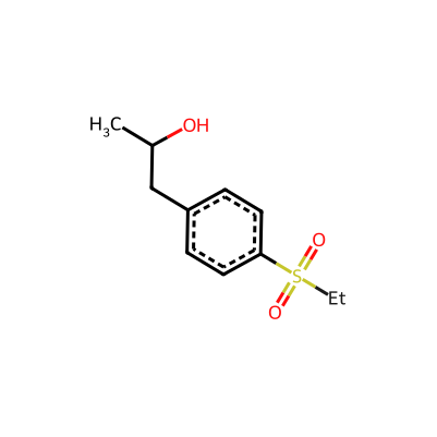 CCS(=O)(=O)c1ccc(CC(C)O)cc1